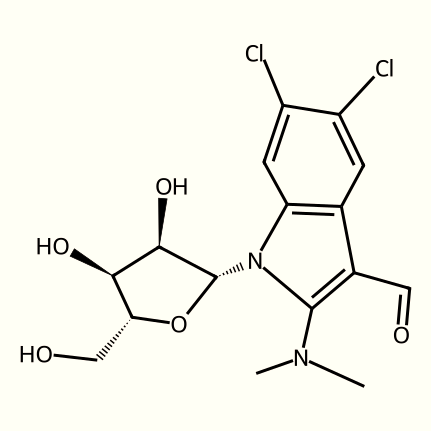 CN(C)c1c(C=O)c2cc(Cl)c(Cl)cc2n1[C@@H]1O[C@H](CO)[C@@H](O)[C@H]1O